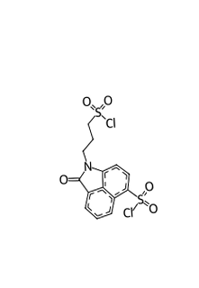 O=C1c2cccc3c(S(=O)(=O)Cl)ccc(c23)N1CCCS(=O)(=O)Cl